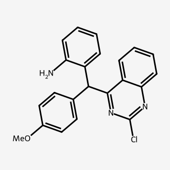 COc1ccc(C(c2ccccc2N)c2nc(Cl)nc3ccccc23)cc1